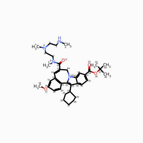 CNCCN(C)CCN(C)C(=O)C1=Cc2cc(OC)ccc2-c2c(C3CCCCC3)c3ccc(C(=O)OC(C)(C)C)cc3n2C1